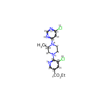 CCOC(=O)c1cnc(N2CCN(c3cc(Cl)ncn3)[C@H](C)C2)c(Cl)c1